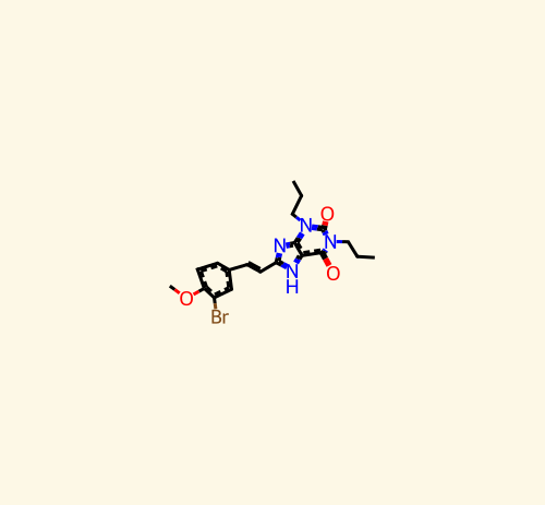 CCCn1c(=O)c2[nH]c(C=Cc3ccc(OC)c(Br)c3)nc2n(CCC)c1=O